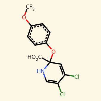 O=C(O)C1(Oc2ccc(OC(F)(F)F)cc2)C=C(Cl)C(Cl)=CN1